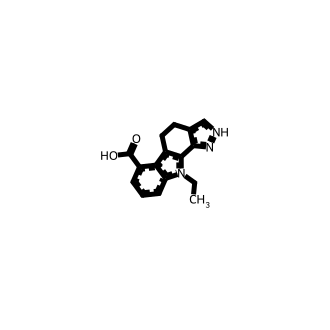 CCn1c2c(c3c(C(=O)O)cccc31)CCc1c[nH]nc1-2